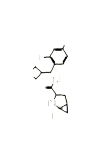 O=C(N[C@@H](c1ccc(C(F)(F)F)cc1F)C1COC1)C1CC2C[C@H]2N1